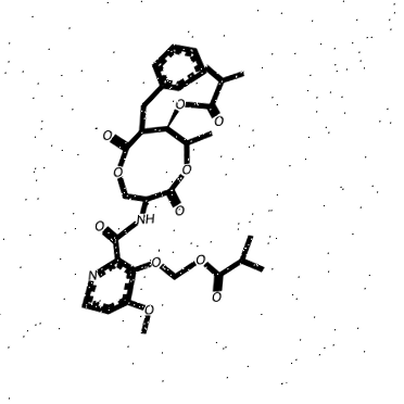 COc1ccnc(C(=O)NC2COC(=O)C(Cc3ccccc3)[C@@H](OC(=O)C(C)C)C(C)OC2=O)c1OCOC(=O)C(C)C